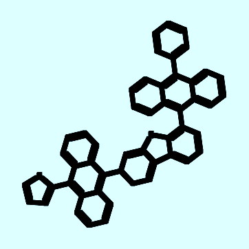 C1=c2sc3c(-c4c5ccccc5c(-c5ccccc5)c5ccccc45)cccc3c2=CCC1c1c2ccccc2c(-c2cccs2)c2ccccc12